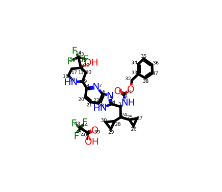 O=C(NC(c1nc2nc(C3CC(O)(C(F)(F)F)CCN3)ccc2[nH]1)C(C1CC1)C1CC1)OCc1ccccc1.O=C(O)C(F)(F)F